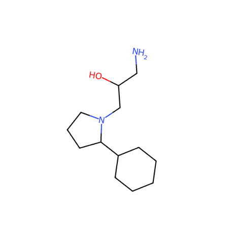 NCC(O)CN1CCCC1C1CCCCC1